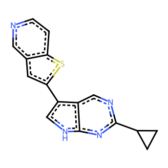 c1cc2sc(-c3c[nH]c4nc(C5CC5)ncc34)cc2cn1